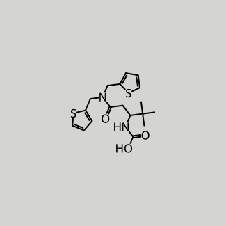 CC(C)(C)C(CC(=O)N(Cc1cccs1)Cc1cccs1)NC(=O)O